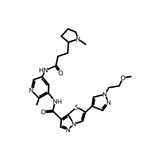 COCCn1cc(-c2cn3ncc(C(=O)Nc4cc(NC(=O)CCC5CCCN5C)cnc4C)c3s2)cn1